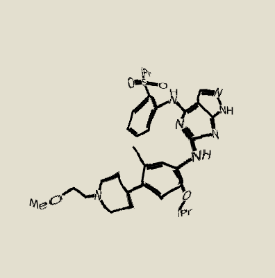 COCCN1CCC(c2cc(OC(C)C)c(Nc3nc(Nc4ccccc4S(=O)(=O)C(C)C)c4cn[nH]c4n3)cc2C)CC1